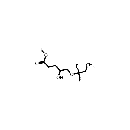 CCC(F)(F)OCC(O)CCC(=O)OI